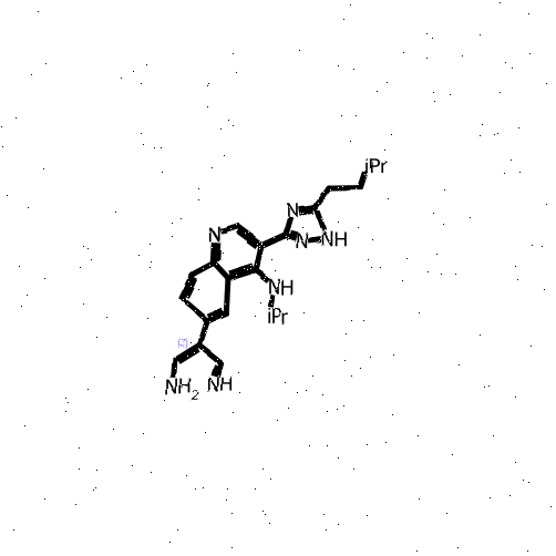 CC(C)CCc1nc(-c2cnc3ccc(/C(C=N)=C/N)cc3c2NC(C)C)n[nH]1